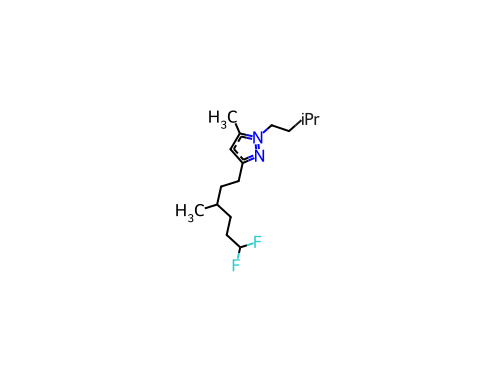 Cc1cc(CCC(C)CCC(F)F)nn1CCC(C)C